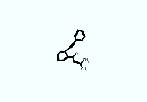 CC(C)=CC(O)c1ccccc1C#Cc1ccccc1